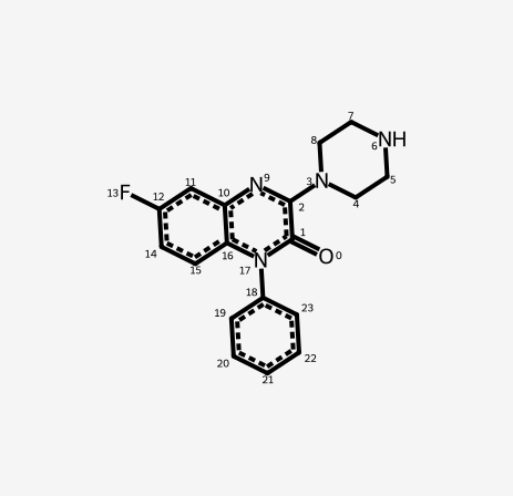 O=c1c(N2CCNCC2)nc2cc(F)ccc2n1-c1ccccc1